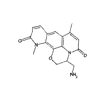 Cc1cc(=O)n2c3c(c4c(ccc(=O)n4C)cc13)OCC2CN